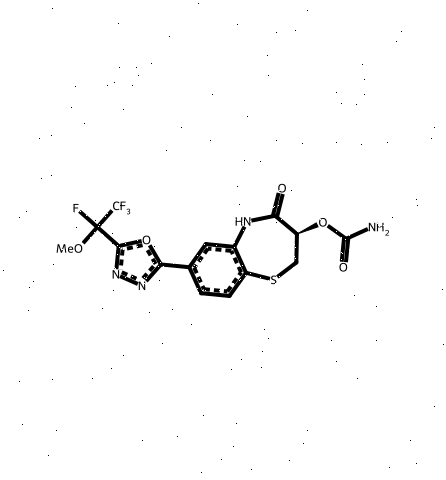 COC(F)(c1nnc(-c2ccc3c(c2)NC(=O)[C@@H](OC(N)=O)CS3)o1)C(F)(F)F